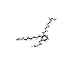 CCCCCCCCCCCCCCCCc1ccc[n+](CCCCCCCCCCCC)c1CCCCCCCCCCCCCCCC